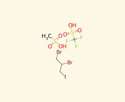 BrCC(Br)CI.CS(=O)(=O)O.O=S(=O)(O)C(F)(F)F